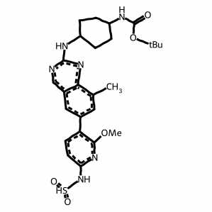 COc1nc(N[SH](=O)=O)ccc1-c1cc(C)c2nc(NC3CCC(NC(=O)OC(C)(C)C)CC3)ncc2c1